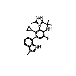 Cc1c[nH]c2c(-c3cc(F)c4c(c3C3CC3)-n3c(C)nnc3C(C)(C)N4)cccc12